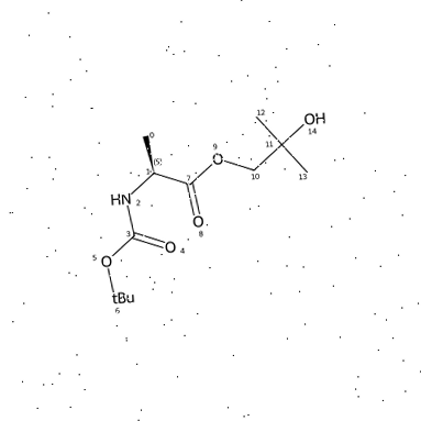 C[C@H](NC(=O)OC(C)(C)C)C(=O)OCC(C)(C)O